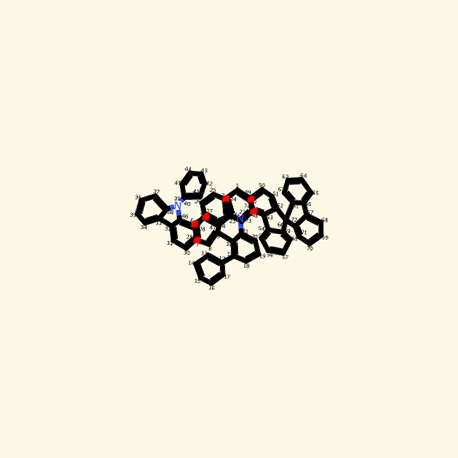 c1ccc(-c2ccccc2-c2c(-c3ccccc3)cccc2N(c2cccc(-c3cccc4c5ccccc5n(-c5ccccc5)c34)c2)c2cccc3c2-c2ccccc2C32c3ccccc3-c3ccccc32)cc1